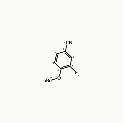 CCCCOc1ccc(C#N)cc1F